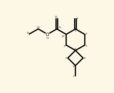 C=C1CCC2(CC(C)C2)CC1C(=C)OCC